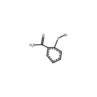 CC(C)Sc1ccccc1C(N)=O